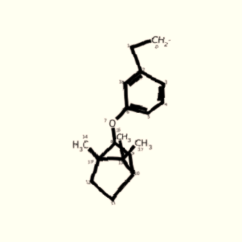 [CH2]Cc1cccc(OC2CC3CCC2(C)C3(C)C)c1